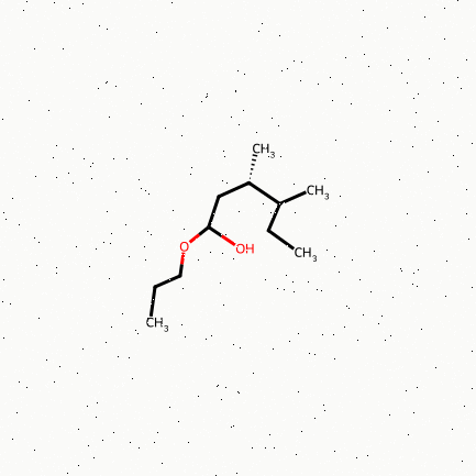 CCCOC(O)C[C@H](C)C(C)CC